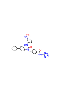 O=C(Nc1nn[nH]n1)c1ccc(CN(C(=O)Nc2cccc(NO)c2)c2ccc(C3=CCCCC3)cc2)cc1